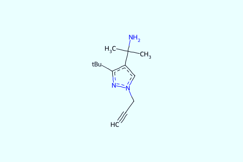 C#CCn1cc(C(C)(C)N)c(C(C)(C)C)n1